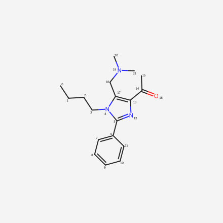 CCCCn1c(-c2ccccc2)nc(C(C)=O)c1CN(C)C